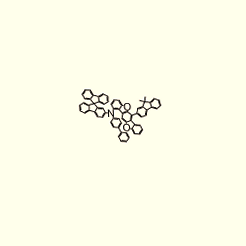 CC1(C)c2ccccc2-c2ccc(-c3c4oc5cccc(N(c6ccc(-c7ccccc7)cc6)c6ccc7c(c6)C6(c8ccccc8-c8ccccc86)c6ccccc6-7)c5c4cc4oc5ccccc5c34)cc21